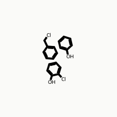 ClCc1ccccc1.Oc1ccccc1.Oc1ccccc1Cl